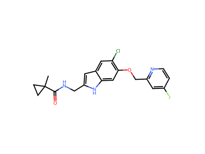 CC1(C(=O)NCc2cc3cc(Cl)c(OCc4cc(F)ccn4)cc3[nH]2)CC1